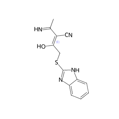 CC(=N)/C(C#N)=C(\O)CSc1nc2ccccc2[nH]1